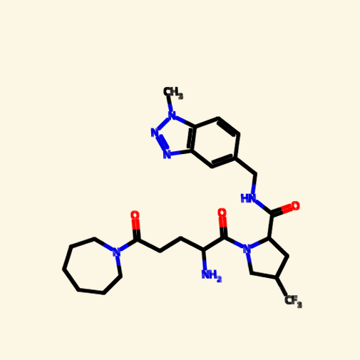 Cn1nnc2cc(CNC(=O)C3CC(C(F)(F)F)CN3C(=O)C(N)CCC(=O)N3CCCCCC3)ccc21